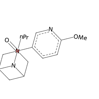 CCCN1CC2CC(C1)N2C(=O)c1ccc(OC)nc1